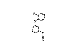 N#C[CH]c1cccc(Oc2ccccc2F)c1